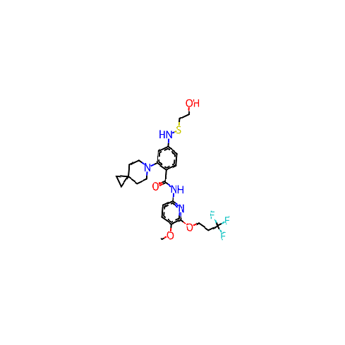 COc1ccc(NC(=O)c2ccc(NSCCO)cc2N2CCC3(CC2)CC3)nc1OCCC(F)(F)F